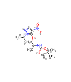 CC(COc1c([N+](=O)[O-])cnn1C(C)C)NC(=O)OC(C)(C)C